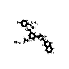 CCCCCC(=O)Nc1cc(C(=O)N[C@H](C)c2ccc(F)cc2)cc(-c2c[nH]c(-c3cc4ccccc4cn3)n2)c1